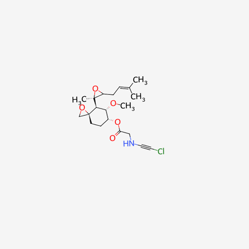 CO[C@@H]1[C@H](OC(=O)CNC#CCl)CC[C@]2(CO2)[C@H]1[C@@]1(C)OC1CC=C(C)C